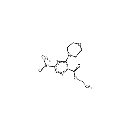 CCOC(=O)c1nnc([S+](C)[O-])nc1N1CCOCC1